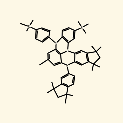 Cc1cc2c3c(c1)N(c1ccc4c(c1)C(C)(C)CC4(C)C)c1cc4c(cc1B3c1cc([Si](C)(C)C)ccc1N2c1ccc([Si](C)(C)C)cc1)C(C)(C)CC4(C)C